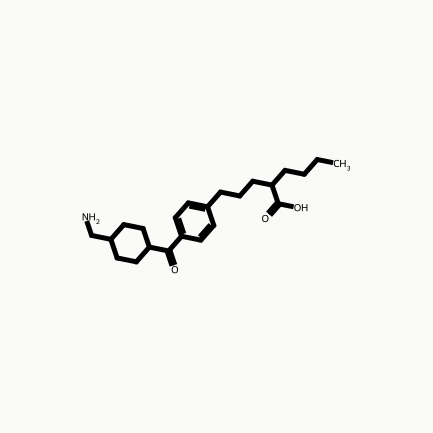 CCCCC(CCCc1ccc(C(=O)C2CCC(CN)CC2)cc1)C(=O)O